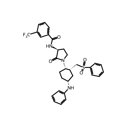 O=C(N[C@H]1CCN([C@H]2CC[C@@H](Nc3ccccc3)C[C@H]2CS(=O)(=O)c2ccccc2)C1=O)c1cccc(C(F)(F)F)c1